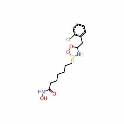 O=C(CCCCCC[SH]1NC(Cc2ccccc2Cl)OO1)NO